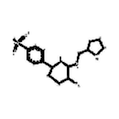 CS(=O)(=O)c1ccc(C2CCC(F)C(OCC3CCCS3)N2)cc1